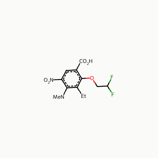 CCc1c(NC)c([N+](=O)[O-])cc(C(=O)O)c1OCC(F)F